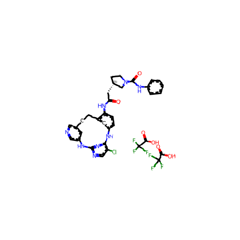 O=C(C[C@@H]1CCN(C(=O)Nc2ccccc2)C1)Nc1ccc2cc1CCc1cncc(c1)Nc1ncc(Cl)c(n1)N2.O=C(O)C(F)(F)F.O=C(O)C(F)(F)F